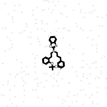 CC(C)(Oc1ccccc1CCN(CCCc1ccccc1)c1nc2ccccc2o1)C(=O)O